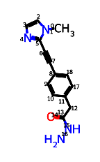 Cn1ccnc1C#Cc1ccc(CC(=O)NN)cc1